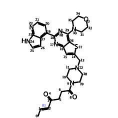 C/C=C/C(=O)CCC(=O)N1CCN(Cc2cc3nc(-c4ccnc5[nH]ccc45)nc(N4CCOCC4)c3s2)CC1